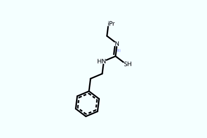 CC(C)C/N=C(/S)NCCc1ccccc1